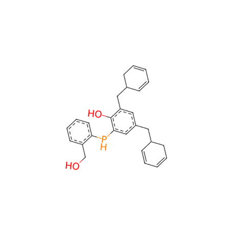 OCc1ccccc1Pc1cc(CC2C=CC=CC2)cc(CC2C=CC=CC2)c1O